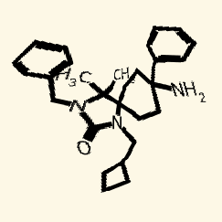 CC1(C)N(Cc2ccccc2)C(=O)N(CC2CCC2)C12CCC(N)(c1ccccc1)CC2